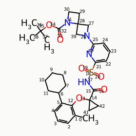 Cc1cccc(C2CCCCC2)c1OC1(C(=O)NS(=O)(=O)c2cccc(N3CC4(CCN4C(=O)OC(C)(C)C)C3)n2)CC1